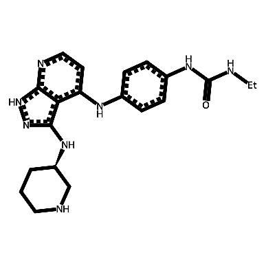 CCNC(=O)Nc1ccc(Nc2ccnc3[nH]nc(N[C@@H]4CCCNC4)c23)cc1